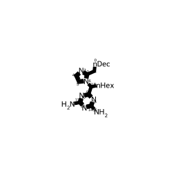 CCCCCCCCCCCc1nccn1C(CCCCCC)c1nc(N)nc(N)n1